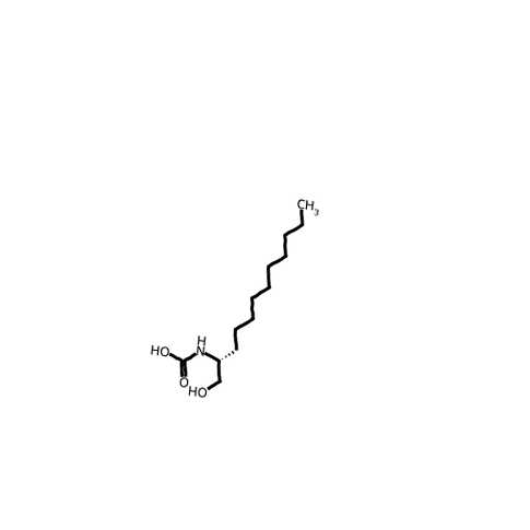 CCCCCCCCCC[C@H](CO)NC(=O)O